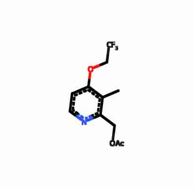 CC(=O)OCc1nccc(OCC(F)(F)F)c1C